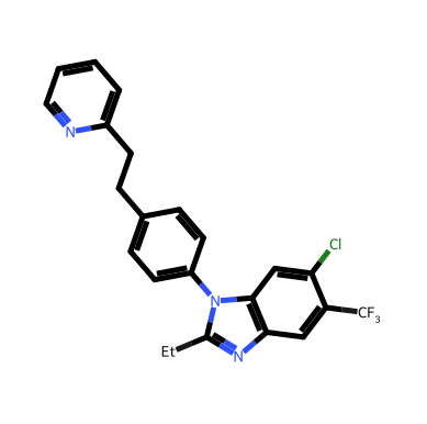 CCc1nc2cc(C(F)(F)F)c(Cl)cc2n1-c1ccc(CCc2ccccn2)cc1